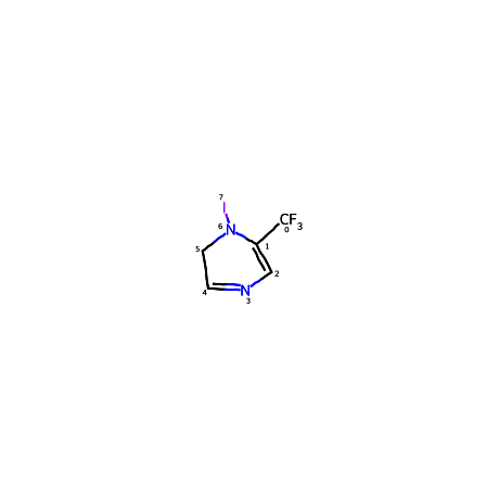 FC(F)(F)C1=CN=CCN1I